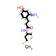 CSCCC(CF)NC(=O)CCc1ccc(O)cc1N